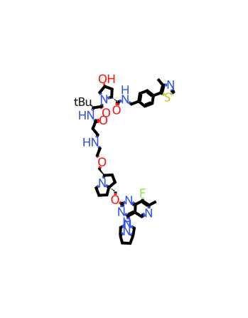 Cc1ncsc1-c1ccc(CNC(=O)[C@H]2C[C@H](O)CN2C(=O)[C@H](NC(=O)CCNCCOC[C@H]2CC[C@@]3(COc4nc(N5CC6CCC(C5)N6)c5cnc(C)c(F)c5n4)CCCN23)C(C)(C)C)cc1